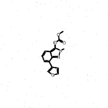 COC(=O)Oc1c2cccc(-c3ccoc3)c2nn1C